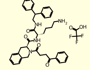 NCCCC[C@H](NC(=O)[C@@H]1Cc2ccccc2CN1C(=O)CCC(=O)c1ccccc1)C(=O)NCC(c1ccccc1)c1ccccc1.O=C(O)C(F)(F)F